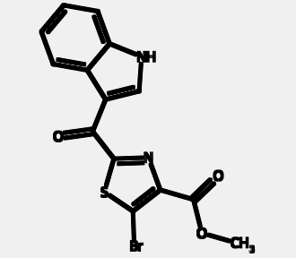 COC(=O)c1nc(C(=O)c2c[nH]c3ccccc23)sc1Br